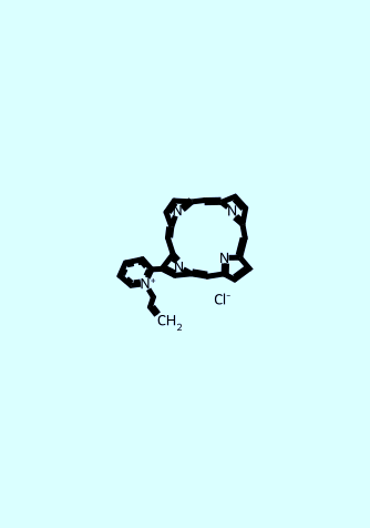 C=CC[n+]1ccccc1C1=CC2=CC3=NC(=CC4=NC(=CC5=NC(=CC1=N2)C=C5)C=C4)C=C3.[Cl-]